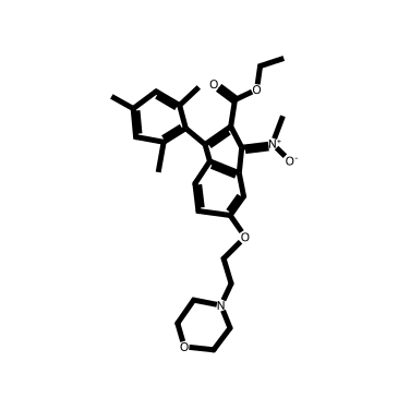 CCOC(=O)C1=C(c2c(C)cc(C)cc2C)c2ccc(OCCN3CCOCC3)cc2/C1=[N+](/C)[O-]